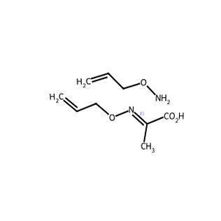 C=CCO/N=C(\C)C(=O)O.C=CCON